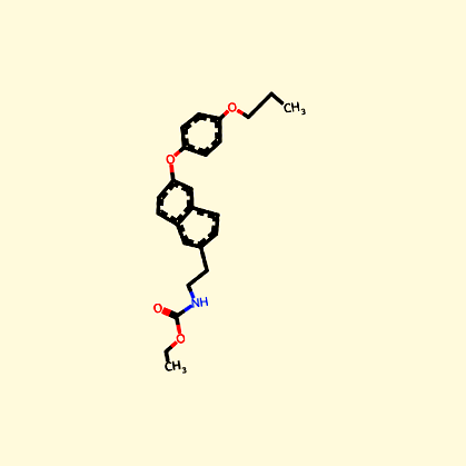 CCCOc1ccc(Oc2ccc3cc(CCNC(=O)OCC)ccc3c2)cc1